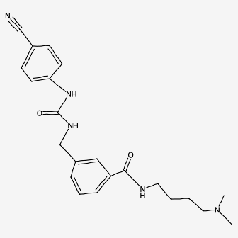 CN(C)CCCCNC(=O)c1cccc(CNC(=O)Nc2ccc(C#N)cc2)c1